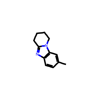 Cc1ccc2nc3n(c2c1)CCCC3